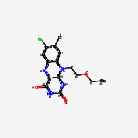 CCc1cc2c(cc1Cl)nc1c(=O)[nH]c(=O)nc-1n2CCOCC(C)(C)C